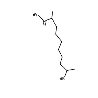 CCC(C)C(C)CCCCCCC(C)NC(C)C